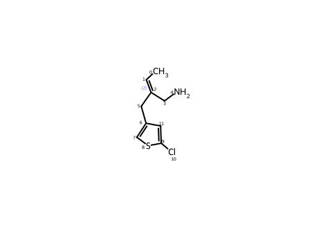 C/C=C(\CN)Cc1csc(Cl)c1